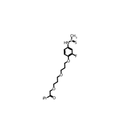 CC(C)C(=O)COCCCOCCCOc1ccc(NS(C)=S)cc1F